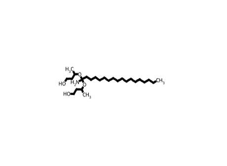 CCCCCCCCCCCCCCCCCC(N)(OC(C)CCO)OC(C)CCO